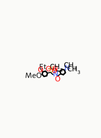 CCOc1cc(C(CN2C(=O)c3ccc(N(C)C)cc3C2=O)S(C)(=O)=O)ccc1OC